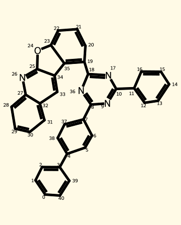 c1ccc(-c2ccc(-c3nc(-c4ccccc4)nc(-c4cccc5oc6nc7ccccc7cc6c45)n3)cc2)cc1